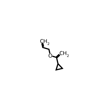 C=CCOC(=C)C1CC1